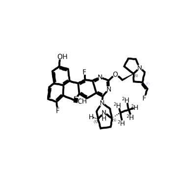 [2H]C([2H])([2H])C([2H])([2H])[C@@]12CC[C@@H](CN(c3nc(OC[C@@]45CCCN4C/C(=C/F)C5)nc4c(F)c(-c5cc(O)cc6ccc(F)c(C#C)c56)c(F)cc34)C1)N2